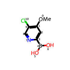 COc1cc(B(O)O)ncc1Cl